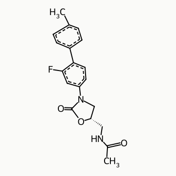 CC(=O)NC[C@H]1CN(c2ccc(-c3ccc(C)cc3)c(F)c2)C(=O)O1